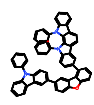 c1ccc(-n2c3ccccc3c3cc(-c4ccc5oc6cccc(-c7ccc8c(c7)c7ccc9c%10ccccc%10n(-c%10ccccc%10)c9c7n8-c7ccccc7)c6c5c4)ccc32)cc1